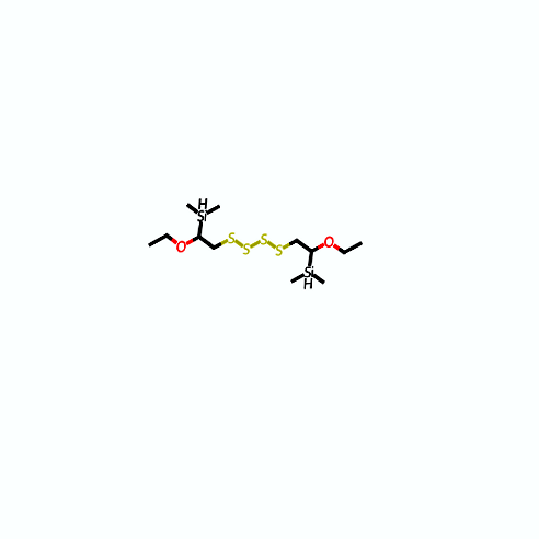 CCOC(CSSSSCC(OCC)[SiH](C)C)[SiH](C)C